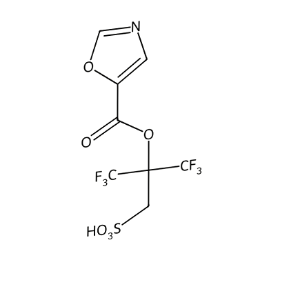 O=C(OC(CS(=O)(=O)O)(C(F)(F)F)C(F)(F)F)c1cnco1